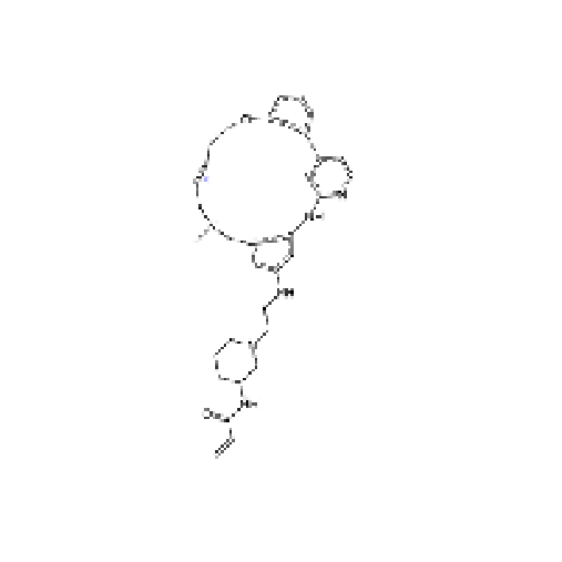 C=CC(=O)NC1CCCN(CCNc2cc3cc(c2)Nc2nccc(n2)-c2cccc(c2)OCC/C=C/CN(C)C3)C1